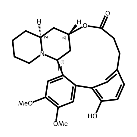 COc1cc2c(cc1OC)[C@@H]1C[C@H](C[C@@H]3CCCCN31)OC(=O)CCc1ccc(O)c-2c1